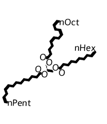 CCCCC/C=C\C/C=C\CCCCCCCC(=O)O[C@H](COC(=O)CCC/C=C\C/C=C\C/C=C\CCCCCCCC)COC(=O)CCCCCCC/C=C\CCCCCC